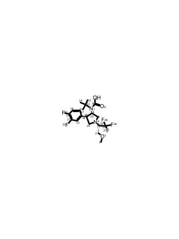 COC[C@H](N1C[C@@H](N(C(=O)O)C(C)(C)C)[C@H](c2ccc(F)c(F)c2)C1)C(F)(F)F